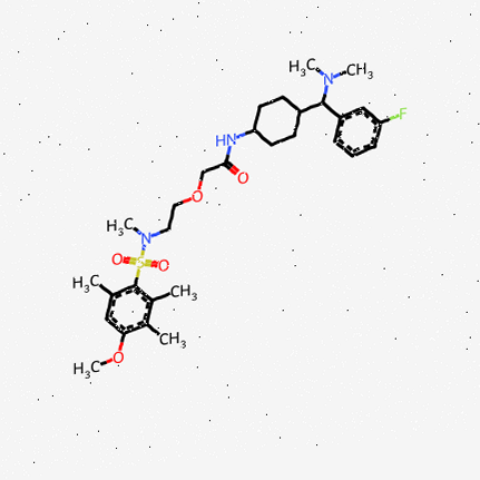 COc1cc(C)c(S(=O)(=O)N(C)CCOCC(=O)NC2CCC(C(c3cccc(F)c3)N(C)C)CC2)c(C)c1C